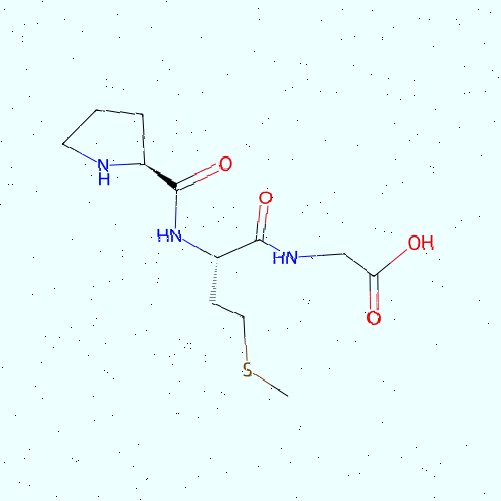 CSCC[C@H](NC(=O)[C@@H]1CCCN1)C(=O)NCC(=O)O